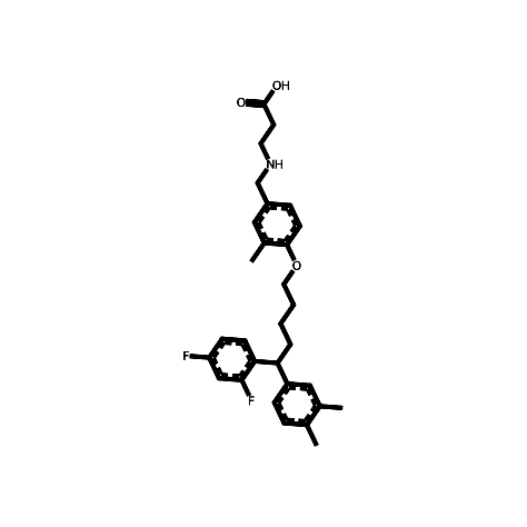 Cc1ccc(C(CCCCOc2ccc(CNCCC(=O)O)cc2C)c2ccc(F)cc2F)cc1C